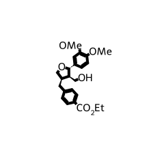 CCOC(=O)c1ccc(C[C@H]2CO[C@H](c3ccc(OC)c(OC)c3)[C@H]2CO)cc1